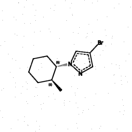 C[C@H]1CCCC[C@@H]1n1cc(Br)cn1